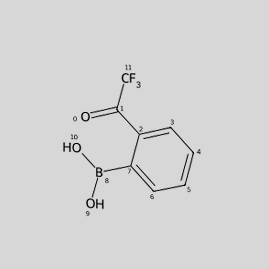 O=C(c1ccccc1B(O)O)C(F)(F)F